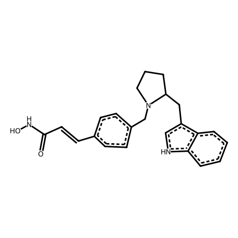 O=C(C=Cc1ccc(CN2CCCC2Cc2c[nH]c3ccccc23)cc1)NO